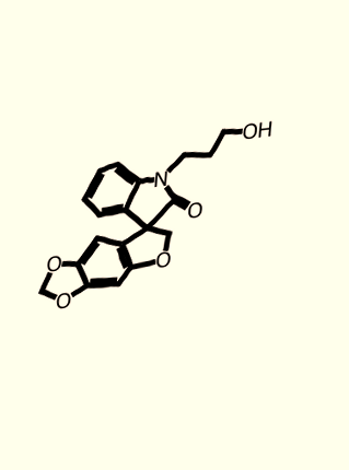 O=C1N(CCCO)c2ccccc2C12COc1cc3c(cc12)OCO3